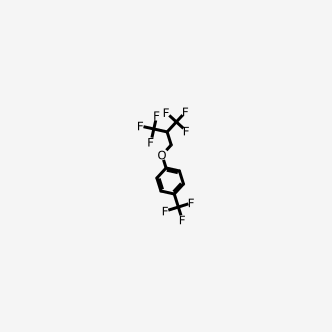 FC(F)(F)c1ccc(OCC(C(F)(F)F)C(F)(F)F)cc1